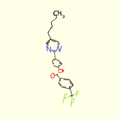 CCCCCc1cnc(-c2ccc(OC(=O)c3ccc(C(F)(F)F)cc3)cc2)nc1